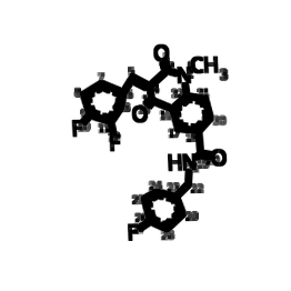 CN1C(=O)/C(=C/c2ccc(F)c(F)c2)C(=O)c2cc(C(=O)NCc3ccc(F)cc3)ccc21